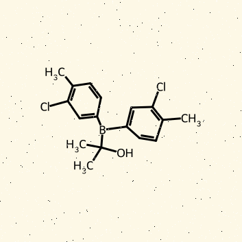 Cc1ccc(B(c2ccc(C)c(Cl)c2)C(C)(C)O)cc1Cl